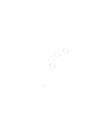 CCCOCCC1COC(c2cc(C)c(C(F)(F)Oc3ccc(-c4cc(F)c(Cl)c(F)c4)c(F)c3)c(F)c2)OC1